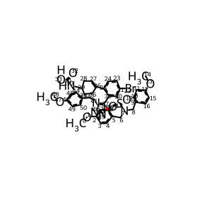 COc1ccc(CN(Cc2ccc(OC)cc2)S(=O)(=O)c2c(Br)ccc(C3=CCC(NC(=O)O)CC3)c2-c2nnnn2Cc2ccc(OC)cc2)cc1